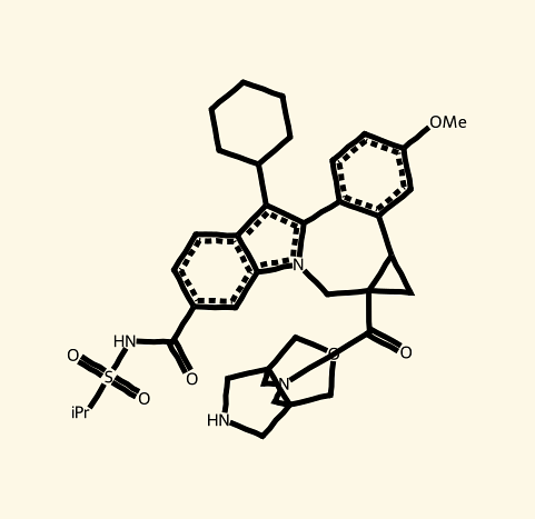 COc1ccc2c(c1)C1CC1(C(=O)N1CC34CNCC3(COC4)C1)Cn1c-2c(C2CCCCC2)c2ccc(C(=O)NS(=O)(=O)C(C)C)cc21